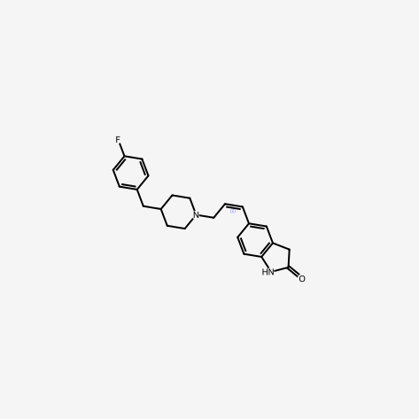 O=C1Cc2cc(/C=C\CN3CCC(Cc4ccc(F)cc4)CC3)ccc2N1